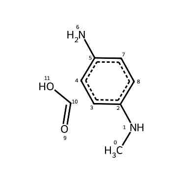 CNc1ccc(N)cc1.O=CO